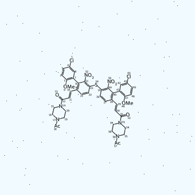 COc1ccc(Cl)cc1-c1c(/C=C/C(=O)N2CCN(C(C)=O)CC2)ccc(Sc2ccc(/C=C/C(=O)N3CCN(C(C)=O)CC3)c(-c3cc(Cl)ccc3OC)c2[N+](=O)[O-])c1[N+](=O)[O-]